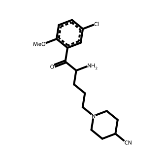 COc1ccc(Cl)cc1C(=O)C(N)CCCN1CCC(C#N)CC1